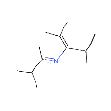 CC(C)=C(/N=C(\C)C(C)C)C(C)C